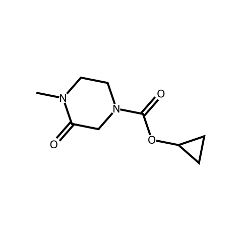 CN1CCN(C(=O)OC2CC2)CC1=O